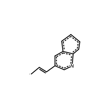 [CH2]C=Cc1cnc2ccccc2c1